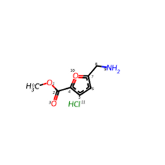 COC(=O)c1ccc(CN)o1.Cl